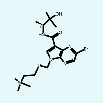 C[C@H](NC(=O)c1cn(COCC[Si](C)(C)C)c2ncc(Br)nc12)C(C)(C)O